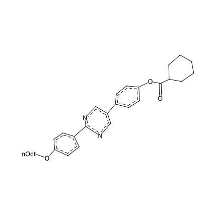 CCCCCCCCOc1ccc(-c2ncc(-c3ccc(OC(=O)C4CCCCC4)cc3)cn2)cc1